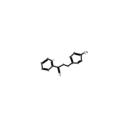 N#Cc1ccc(CCC(=O)c2ccccc2)cc1